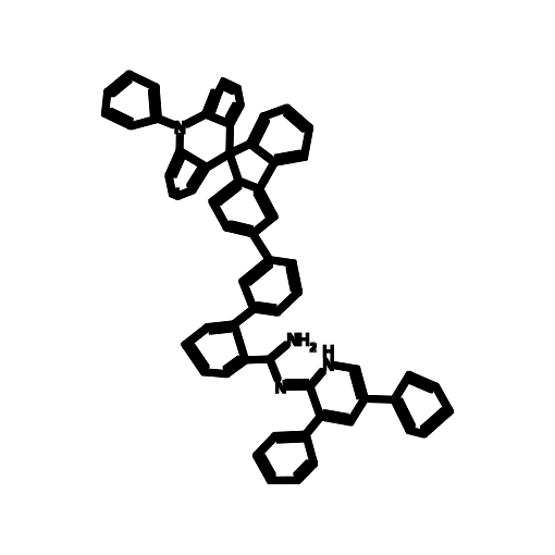 NC(/N=c1\[nH]cc(-c2ccccc2)cc1-c1ccccc1)c1ccccc1-c1cccc(-c2ccc3c(c2)-c2ccccc2C32c3ccccc3N(c3ccccc3)c3ccccc32)c1